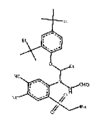 CCC(C)CS(=O)(=O)c1cc(C#N)c(C#N)cc1N(NC=O)C(CC)Oc1ccc(C(C)(C)CC)cc1C(C)(C)CC